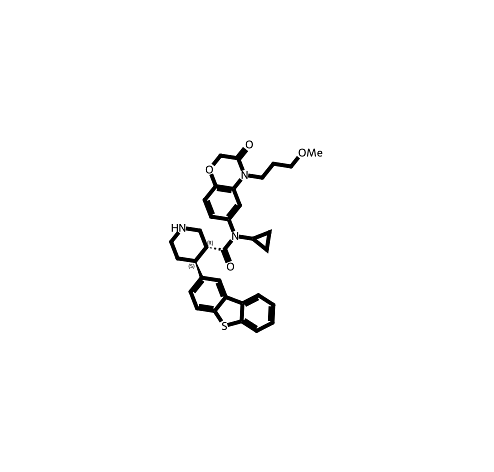 COCCCN1C(=O)COc2ccc(N(C(=O)[C@H]3CNCC[C@@H]3c3ccc4sc5ccccc5c4c3)C3CC3)cc21